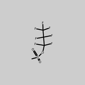 CS(=O)(=O)OC(F)(F)C(F)(F)C(F)(F)F